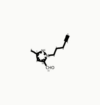 C#CCCCn1nc(C)cc1C=O